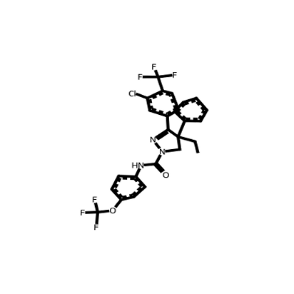 CCC1(c2ccccc2)CN(C(=O)Nc2ccc(OC(F)(F)F)cc2)N=C1c1ccc(C(F)(F)F)c(Cl)c1